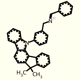 CC1(C)c2ccccc2-c2c1ccc1c3ccccc3n(-c3cccc(C/N=C/c4ccccc4)c3)c21